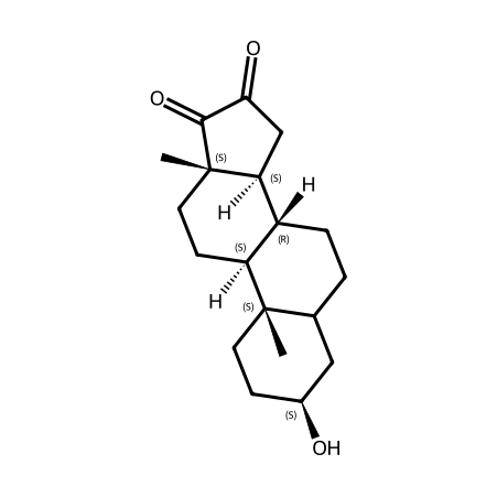 C[C@]12CC[C@H](O)CC1CC[C@@H]1[C@@H]2CC[C@]2(C)C(=O)C(=O)C[C@@H]12